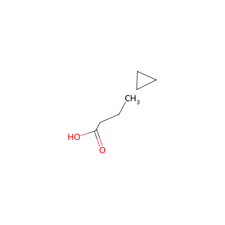 C1CC1.CCCC(=O)O